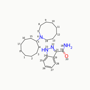 C1CCCCC(N2CCCCCCCC2)CCC1.NC(=O)c1n[nH]c2ccccc12